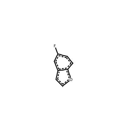 Fc1ccc2o[c]cc2c1